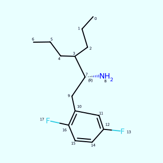 CCCC(CCC)[C@H](N)Cc1cc(F)ccc1F